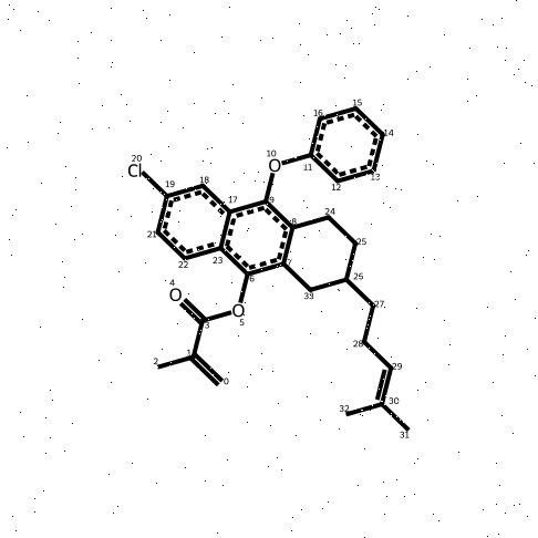 C=C(C)C(=O)Oc1c2c(c(Oc3ccccc3)c3cc(Cl)ccc13)CCC(CCC=C(C)C)C2